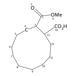 COC(=O)C1CCCCCCCCCC1C(=O)O